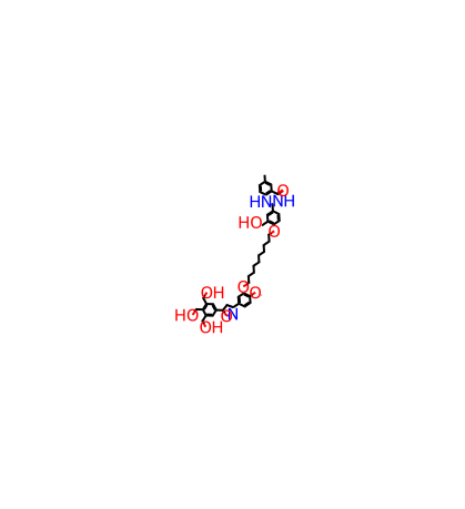 COc1ccc(C2=NOC(c3cc(CO)c(CO)c(CO)c3)C2)cc1OCCCCCCCCCCOc1ccc(C2NC(=O)c3cc(C)ccc3N2)cc1CO